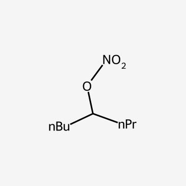 CCCCC(CCC)O[N+](=O)[O-]